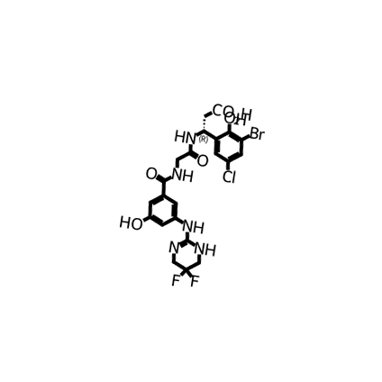 O=C(O)C[C@@H](NC(=O)CNC(=O)c1cc(O)cc(NC2=NCC(F)(F)CN2)c1)c1cc(Cl)cc(Br)c1O